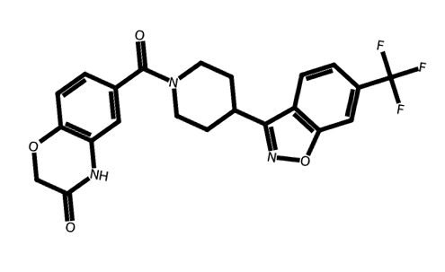 O=C1COc2ccc(C(=O)N3CCC(c4noc5cc(C(F)(F)F)ccc45)CC3)cc2N1